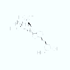 CC(C)(O)CCC[C@H](CC#CC(O)(C(F)(F)F)C(F)(F)F)C1CCC2/C(=C/C=C3C[C@@H](O)C[C@H](O)C3)CCC[C@@]21C